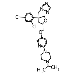 CC(C)N1CCN(c2ccc(OC[C@@H]3C[C@@](Cn4cncn4)(c4ccc(Cl)cc4Cl)CO3)cn2)CC1